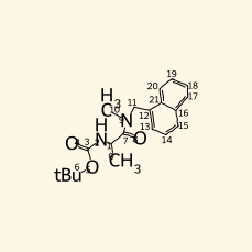 CC(NC(=O)OC(C)(C)C)C(=O)N(C)Cc1cccc2ccccc12